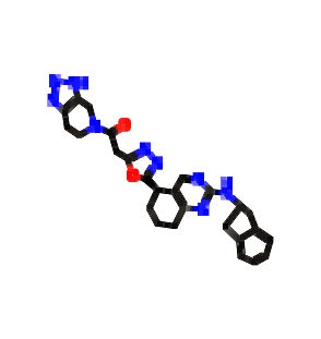 O=C(Cc1nnc([C@@H]2CCCc3nc(NC4Cc5ccccc5C4)ncc32)o1)N1CCc2nn[nH]c2C1